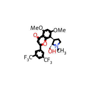 COc1cc(OC)c2c(=O)cc(-c3cc(C(F)(F)F)cc(C(F)(F)F)c3)oc2c1[C@H]1CCN(C)[C@@H]1CO